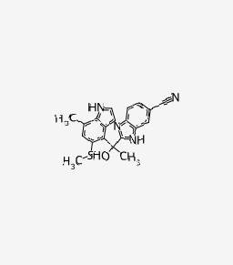 CSc1cc(C)c2[nH]ccc2c1C(C)(O)c1nc2ccc(C#N)cc2[nH]1